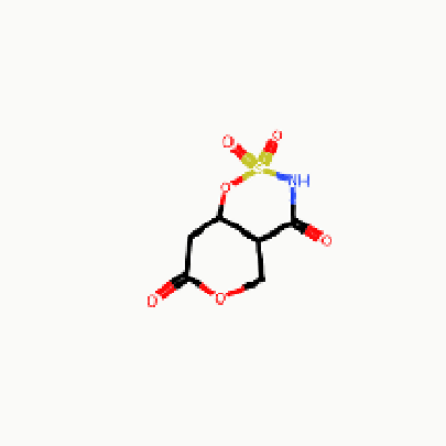 O=C1CC2OS(=O)(=O)NC(=O)C2CO1